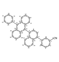 N#Cc1ccnc(-c2ccc(-c3c4ccccc4c(-c4ccccc4)c4ccccc34)c3ccccc23)c1